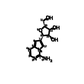 Nc1ncnc2cc([C@@H]3O[C@H](CO)[C@@H](O)[C@H]3O)cn12